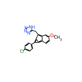 COc1ccc2c3c(-c4ccc(Cl)cc4)c-3c(Cc3nnn[nH]3)c2c1